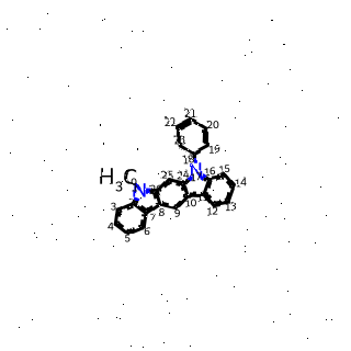 Cn1c2ccccc2c2cc3c4ccccc4n(C4C=CC=CC4)c3cc21